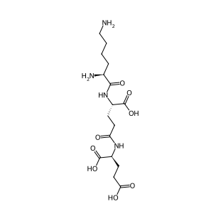 NCCCC[C@H](N)C(=O)N[C@@H](CCC(=O)N[C@@H](CCC(=O)O)C(=O)O)C(=O)O